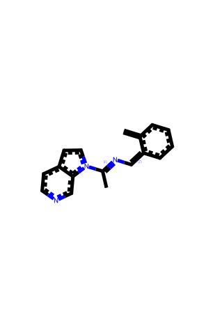 C=c1cccc/c1=C/N=C(\C)n1ccc2ccncc21